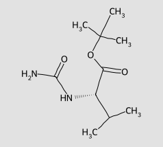 CC(C)[C@H](NC(N)=O)C(=O)OC(C)(C)C